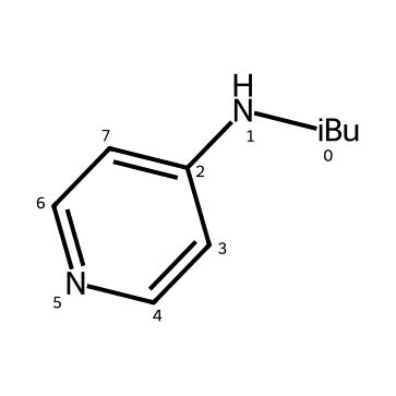 CCC(C)Nc1ccncc1